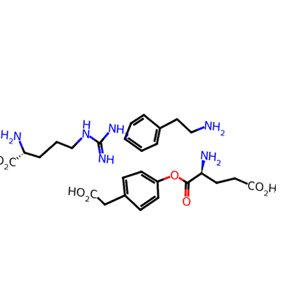 N=C(N)NCCC[C@@H](N)C(=O)O.NCCc1ccccc1.N[C@@H](CCC(=O)O)C(=O)Oc1ccc(CC(=O)O)cc1